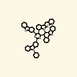 c1ccc(-n2c3ccccc3c3cc(-c4nc(-c5ccc6c(c5)oc5ccccc56)c5c(n4)-c4c(c6c7ccccc7sc6c6ccccc46)-n4c6cc7ccccc7cc6c6cccc-5c64)ccc32)cc1